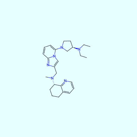 CCN(CC)[C@@H]1CCN(c2cccc3nc(CN(C)[C@H]4CCCc5cccnc54)cn23)C1